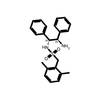 Cc1cccc(C)c1CS(=O)(=O)N[C@H](c1ccccc1)[C@H](N)c1ccccc1